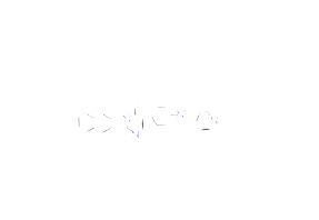 O=c1c2c3c(sc2ncn1Cc1ccc2ccccc2c1)CC(NCc1ccncc1)CC3